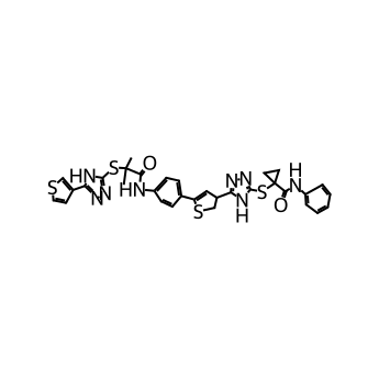 CC(C)(Sc1nnc(-c2ccsc2)[nH]1)C(=O)Nc1ccc(C2=CC(c3nnc(SC4(C(=O)Nc5ccccc5)CC4)[nH]3)CS2)cc1